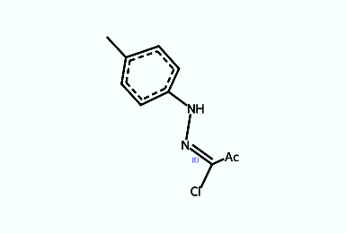 CC(=O)/C(Cl)=N\Nc1ccc(C)cc1